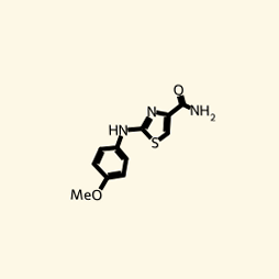 COc1ccc(Nc2nc(C(N)=O)cs2)cc1